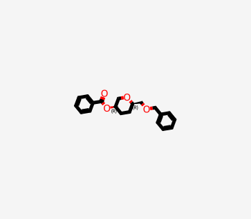 O=C(O[C@@H]1CC[C@H](COCc2ccccc2)OC1)c1ccccc1